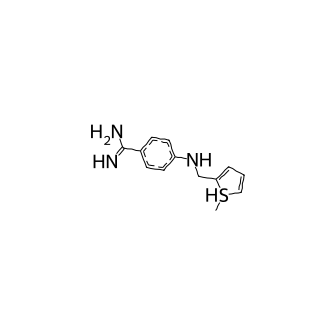 C[SH]1C=CC=C1CNc1ccc(C(=N)N)cc1